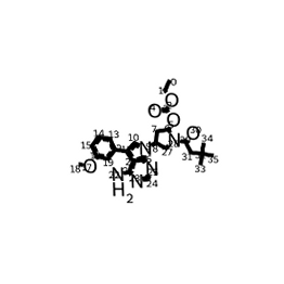 CCOC(=O)OC1CC(n2cc(-c3cccc(OC)c3)c3c(N)ncnc32)CN1C(=O)CC(C)(C)C